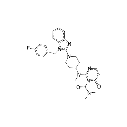 CN(C)C(=O)n1c(N(C)C2CCN(c3nc4ccccc4n3Cc3ccc(F)cc3)CC2)nccc1=O